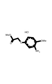 COC(=O)COc1ccc(OC)c(N)c1.Cl